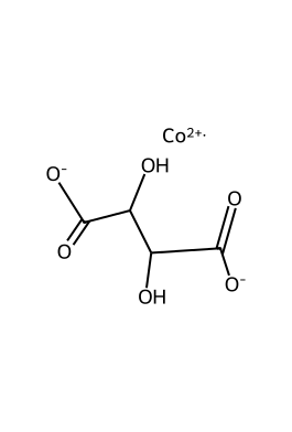 O=C([O-])C(O)C(O)C(=O)[O-].[Co+2]